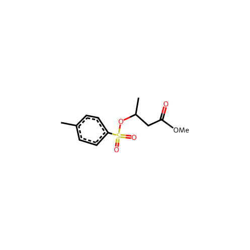 COC(=O)CC(C)OS(=O)(=O)c1ccc(C)cc1